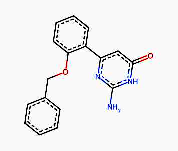 Nc1nc(-c2ccccc2OCc2ccccc2)cc(=O)[nH]1